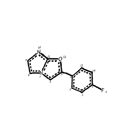 Fc1ccc(-c2cn3ccnc3o2)cc1